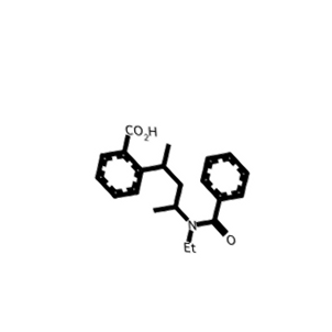 CCN(C(=O)c1ccccc1)C(C)CC(C)c1ccccc1C(=O)O